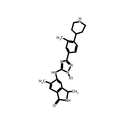 CCn1nc(-c2ccc(C3CCNCC3)c(C)c2)nc1Nc1cc2c(cc1C)C(=O)NC2C